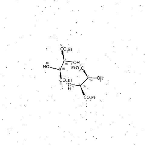 CCOC(=O)[C@@H](O)[C@H](O)C(=O)OCC.CCOC(=O)[C@@H](O)[C@H](O)C(=O)OCC